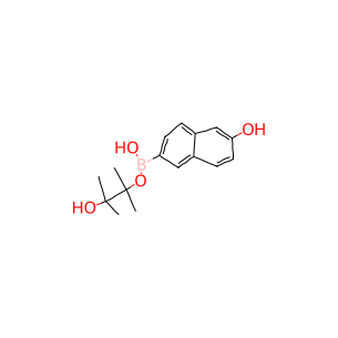 CC(C)(O)C(C)(C)OB(O)c1ccc2cc(O)ccc2c1